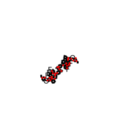 C=CC1=CCC(Oc2ccc(C3(c4cc(F)c(F)c(F)c4)c4ccccc4-c4ccc(N(c5ccc(F)cc5)c5ccc6c(c5)C5(CC(C)(C)c7ccc(N(C8=CC=C(F)CC8)c8ccc9c(c8)C(c8ccc(Oc%10ccc(C=C)cc%10)cc8)(c8cc(F)c(F)c(F)c8)c8ccccc8-9)cc75)CC6(C)C)cc43)cc2)C=C1